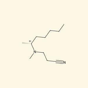 CCCCC[C@@H](C)N(C)CCC#N